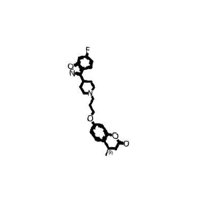 C[C@@H]1CC(=O)Oc2cc(OCCCN3CCC(c4noc5cc(F)ccc45)CC3)ccc21